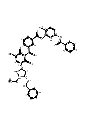 O=C(Oc1ccc(Cl)c(OC(=O)c2cccc(C(=O)n3c(=O)c(F)cn([C@H]4C[C@H](OCc5ccccc5)[C@@H](CO)O4)c3=O)c2)n1)c1ccccc1